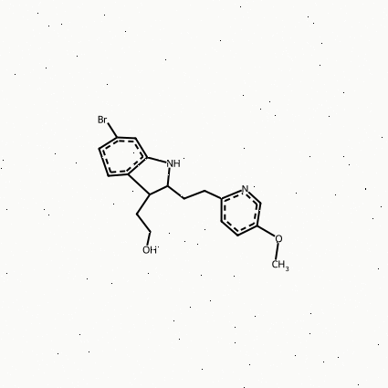 COc1ccc(CCC2Nc3cc(Br)ccc3C2CCO)nc1